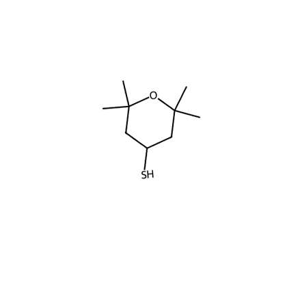 CC1(C)CC(S)CC(C)(C)O1